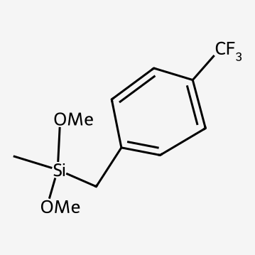 CO[Si](C)(Cc1ccc(C(F)(F)F)cc1)OC